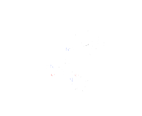 c1ccc2c(c1)-c1ccccc1C21c2ccccc2-c2ccc(-c3cncc(-c4cc(-c5nc6ccccc6o5)cc(-c5nc6ccccc6o5)c4)c3)cc21